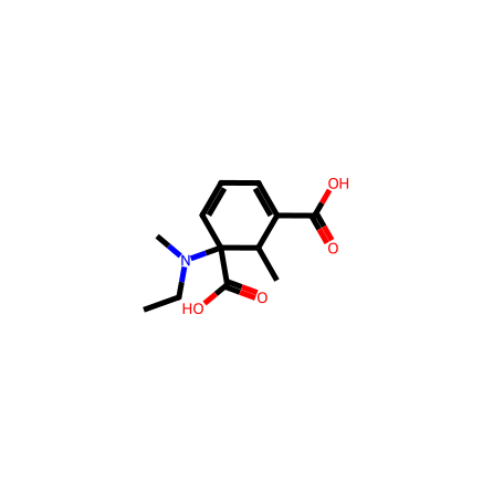 CCN(C)C1(C(=O)O)C=CC=C(C(=O)O)C1C